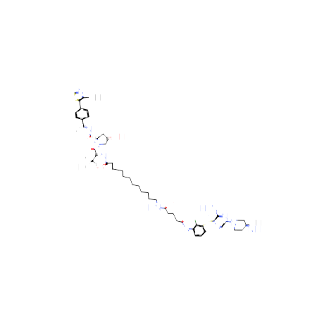 Cc1ncsc1-c1ccc([C@@H](C)NC(=O)[C@H]2C[C@H](O)CN2C(=O)[C@H](NC(=O)CCCCCCCCCCCNC(=O)CCCC(=O)Nc2cccc(Sc3ncc(N4CCC(C)(N)CC4)nc3N)c2Cl)C(C)(C)C)cc1